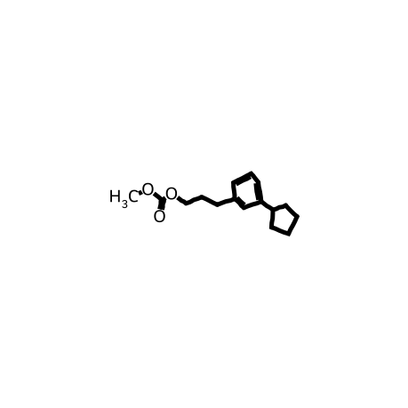 COC(=O)OCCCc1cccc(C2CCCC2)c1